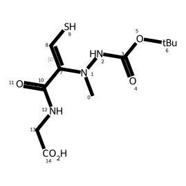 CN(NC(=O)OC(C)(C)C)/C(=C\S)C(=O)NCC(=O)O